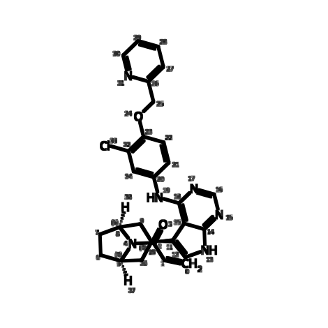 C=CC(=O)N1[C@@H]2CC[C@H]1C[C@@H](c1c[nH]c3ncnc(Nc4ccc(OCc5ccccn5)c(Cl)c4)c13)C2